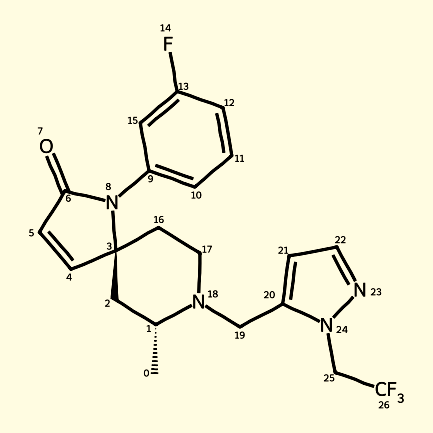 C[C@@H]1C[C@]2(C=CC(=O)N2c2cccc(F)c2)CCN1Cc1ccnn1CC(F)(F)F